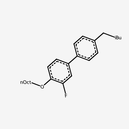 CCCCCCCCOc1ccc(-c2ccc(CC(C)CC)cc2)cc1F